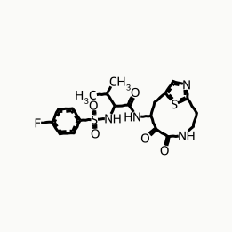 CC(C)C(NS(=O)(=O)c1ccc(F)cc1)C(=O)NC1Cc2cnc(s2)CCNC(=O)C1=O